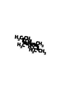 CC(C)CC(C)(C)C/N=N/CC(C)(C)CC(C)C